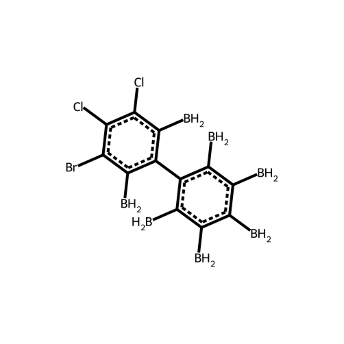 Bc1c(B)c(B)c(-c2c(B)c(Cl)c(Cl)c(Br)c2B)c(B)c1B